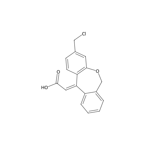 O=C(O)/C=C1/c2ccccc2COc2cc(CCl)ccc21